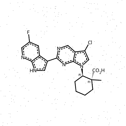 C[C@@]1(C(=O)O)CCCC[C@H]1n1cc(Cl)c2cnc(-c3c[nH]c4ncc(F)cc34)nc21